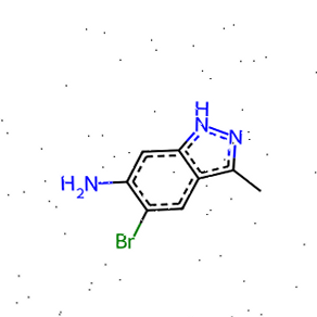 Cc1n[nH]c2cc(N)c(Br)cc12